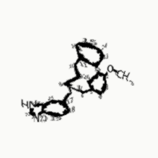 COc1ccc(CN(CCCc2ccccc2)c2ccc3nc[nH]c3c2)cc1